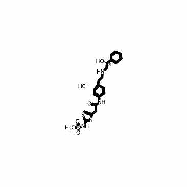 CS(=O)(=O)Nc1nc(CC(=O)Nc2ccc(CCNC[C@H](O)c3ccccc3)cc2)cs1.Cl